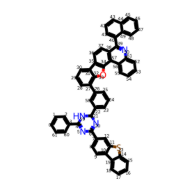 c1ccc(C2=NC(c3ccc4c(c3)sc3ccccc34)=NC(c3cccc(-c4cccc5c4oc4c5ccc5c(-c6cccc7ccccc67)nc6ccccc6c54)c3)N2)cc1